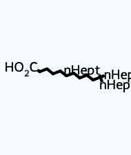 CCCCCCCC(CCCCCCC)(CCCCCCC)CCCCCCCCCC(=O)O